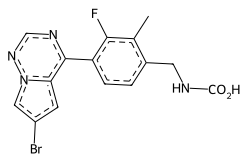 Cc1c(CNC(=O)O)ccc(-c2ncnn3cc(Br)cc23)c1F